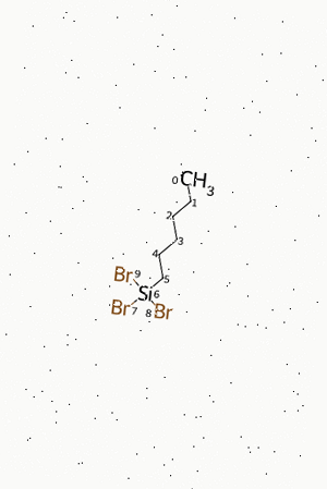 CCCCCC[Si](Br)(Br)Br